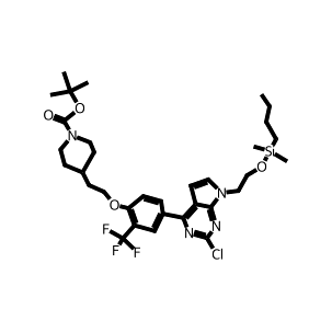 CCCC[Si](C)(C)OCCn1ccc2c(-c3ccc(OCCC4CCN(C(=O)OC(C)(C)C)CC4)c(C(F)(F)F)c3)nc(Cl)nc21